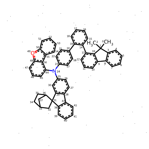 CC1(C)c2ccccc2-c2cccc(-c3ccccc3-c3ccc(N(c4ccc5c(c4)C4(CC6CCC4C6)c4ccccc4-5)c4cccc5oc6ccccc6c45)cc3)c21